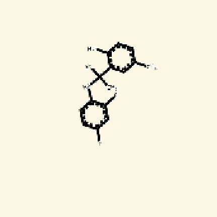 CCC(C)(Pc1ccc(F)cc1F)c1cc(C)ccc1O